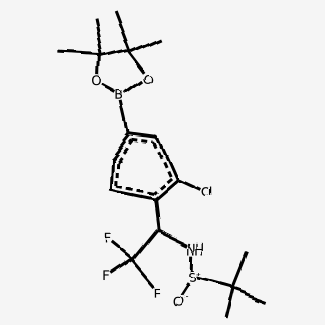 CC(C)(C)[S+]([O-])NC(c1ccc(B2OC(C)(C)C(C)(C)O2)cc1Cl)C(F)(F)F